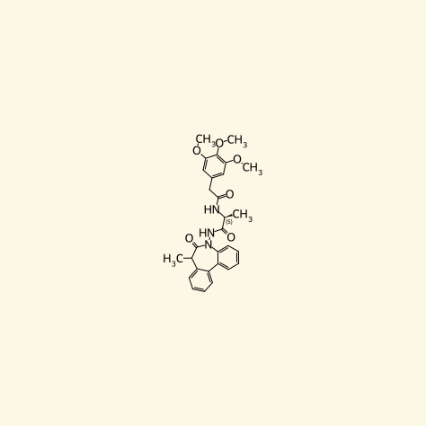 COc1cc(CC(=O)N[C@@H](C)C(=O)NN2C(=O)C(C)c3ccccc3-c3ccccc32)cc(OC)c1OC